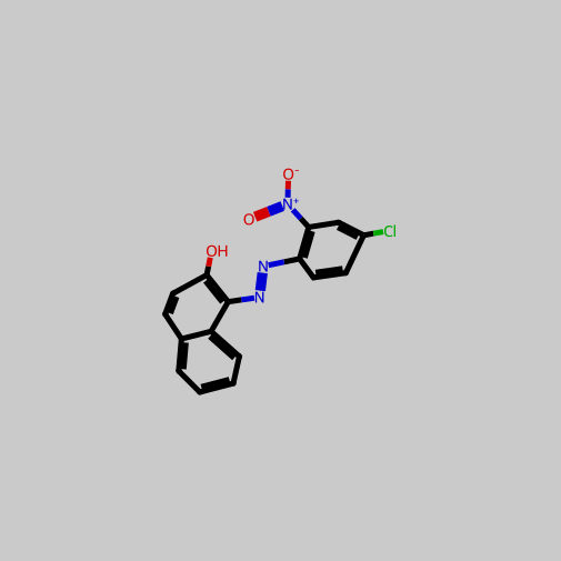 O=[N+]([O-])c1cc(Cl)ccc1/N=N/c1c(O)ccc2ccccc12